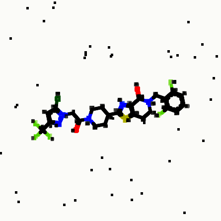 O=C(Cn1nc(C(F)(F)F)cc1Cl)N1CCC(c2nc3c(s2)CCN(Cc2c(F)cccc2F)C3=O)CC1